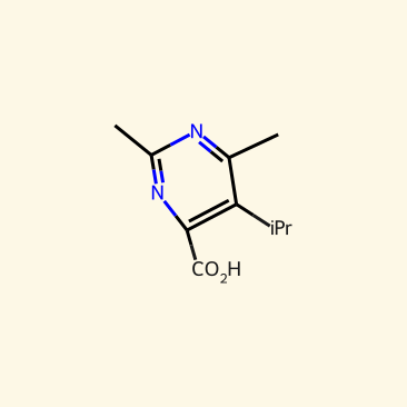 Cc1nc(C)c(C(C)C)c(C(=O)O)n1